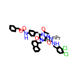 CCCN(C(=O)NCc1ccc(Cl)c(Cl)c1)N1CC(=O)N2[C@@H](Cc3ccc(NC(=O)OCc4ccccc4)cc3)C(=O)N(Cc3cccc4ccccc34)C[C@@H]21